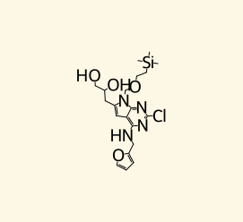 C[Si](C)(C)CCOCn1c(CC(O)CO)cc2c(NCc3ccco3)nc(Cl)nc21